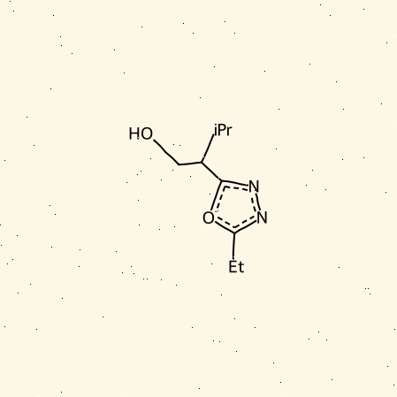 CCc1nnc(C(CO)C(C)C)o1